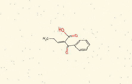 CCC=C(C(=O)O)C(=O)c1ccccc1